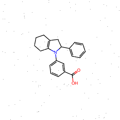 O=C(O)c1cccc(N2C3=C(CCCC3)CC2c2ccccc2)c1